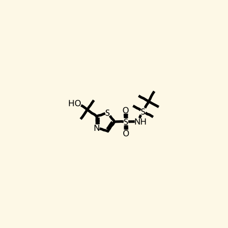 CC(C)(O)c1ncc(S(=O)(=O)NS(C)(C)C(C)(C)C)s1